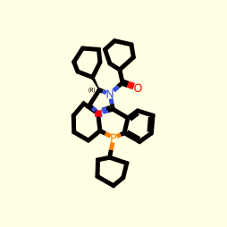 O=C(C1CCCCC1)N1C(c2ccccc2P(C2CCCCC2)C2CCCCC2)=NC[C@H]1C1CCCCC1